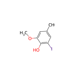 [CH]c1cc(I)c(O)c(OC)c1